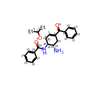 CCC(CC)O[C@@H]1C=C(C(=O)c2ccccc2)C[C@H](N)[C@H]1NC(=O)c1ccccc1